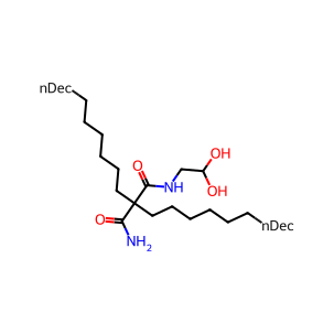 CCCCCCCCCCCCCCCCC(CCCCCCCCCCCCCCCC)(C(N)=O)C(=O)NCC(O)O